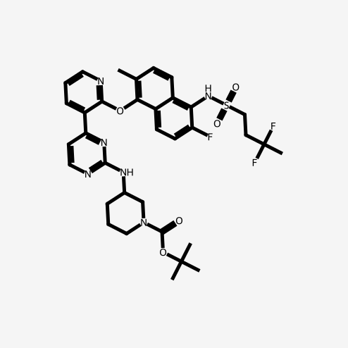 Cc1ccc2c(NS(=O)(=O)CCC(C)(F)F)c(F)ccc2c1Oc1ncccc1-c1ccnc(NC2CCCN(C(=O)OC(C)(C)C)C2)n1